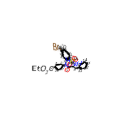 CCOC(=O)c1ccc(NC(=O)[C@H](Cc2ccccc2)NS(=O)(=O)c2ccc(Br)cc2)cc1